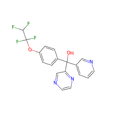 OC(c1ccc(OC(F)(F)C(F)F)cc1)(c1cccnc1)c1cnccn1